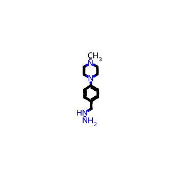 CN1CCN(c2ccc(CNN)cc2)CC1